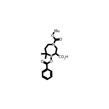 CC(C)(C)OC(=O)N1CCC(C)(I)N(OC(=O)c2ccccc2)C(C(=O)O)C1